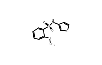 COc1ccccc1S(=O)(=O)Nc1ccsc1